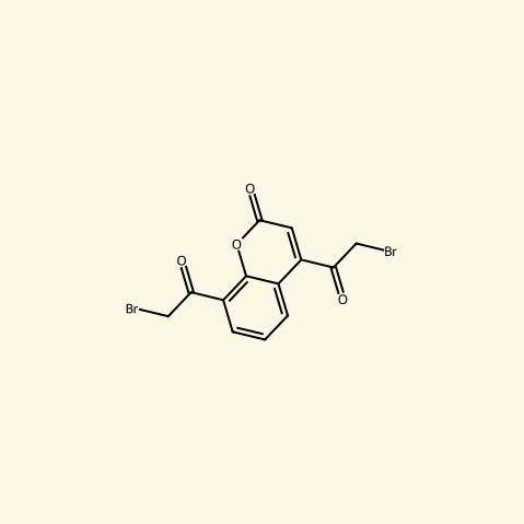 O=C(CBr)c1cc(=O)oc2c(C(=O)CBr)cccc12